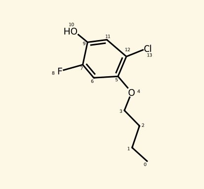 CCCCOc1cc(F)c(O)cc1Cl